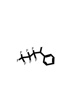 [CH2]C(c1ccccc1)C(F)(F)C(F)(F)C(F)(F)F